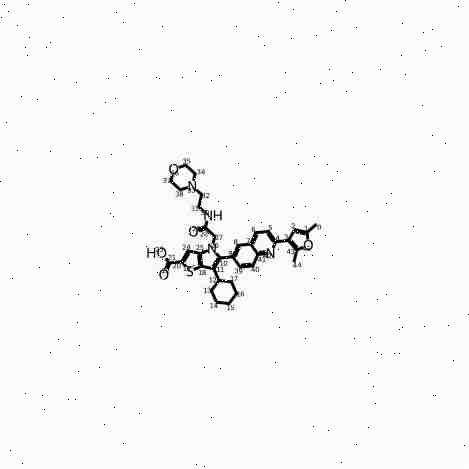 Cc1cc(-c2ccc3cc(-c4c(C5CCCCC5)c5sc(C(=O)O)cc5n4CC(=O)NCCN4CCOCC4)ccc3n2)c(C)o1